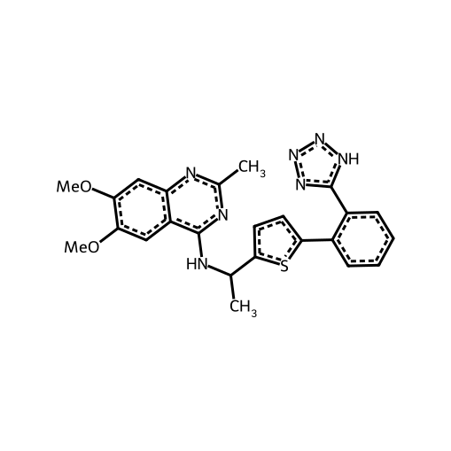 COc1cc2nc(C)nc(NC(C)c3ccc(-c4ccccc4-c4nnn[nH]4)s3)c2cc1OC